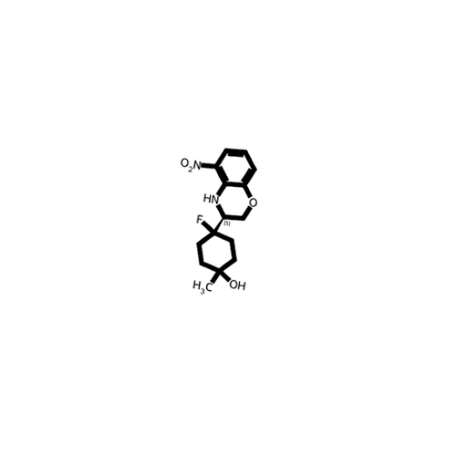 CC1(O)CCC(F)([C@@H]2COc3cccc([N+](=O)[O-])c3N2)CC1